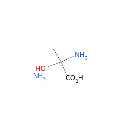 CC(N)(O)C(=O)O.N